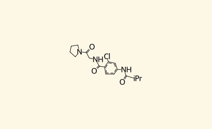 CC(C)C(=O)Nc1ccc(C(=O)NCC(=O)N2CCCC2)c(Cl)c1